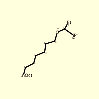 CCCCCCCCCCCCCCOC(CC)C(C)C